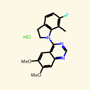 COc1cc2ncnc(N3CCc4ccc(F)c(C)c43)c2cc1OC.Cl